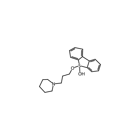 OS1(OCCCN2CCCCC2)c2ccccc2-c2ccccc21